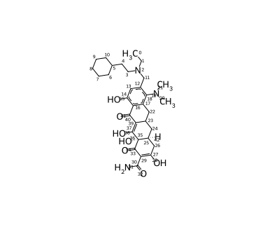 CCN(CCC1CCCCC1)Cc1cc(O)c2c(c1N(C)C)CC1C[C@H]3CC(O)=C(C(N)=O)C(=O)[C@@]3(O)C(O)=C1C2=O